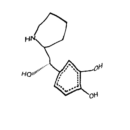 Oc1ccc([C@H](O)C2CCCCN2)cc1O